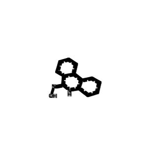 O/N=c1\[nH]c2ccccc2c2ccccc12